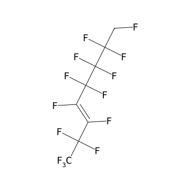 FCC(F)(F)C(F)(F)C(F)(F)/C(F)=C(\F)C(F)(F)C(F)(F)F